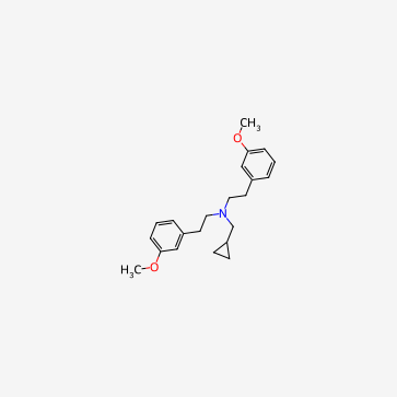 COc1cccc(CCN(CCc2cccc(OC)c2)CC2CC2)c1